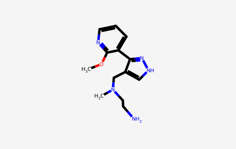 COc1ncccc1-c1n[nH]cc1CN(C)CCN